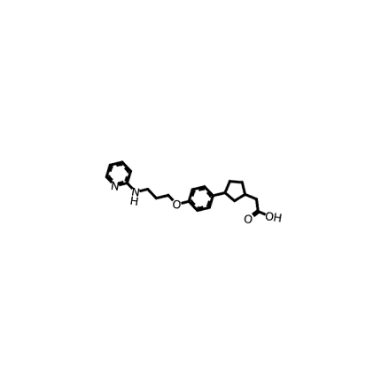 O=C(O)CC1CCC(c2ccc(OCCCNc3ccccn3)cc2)C1